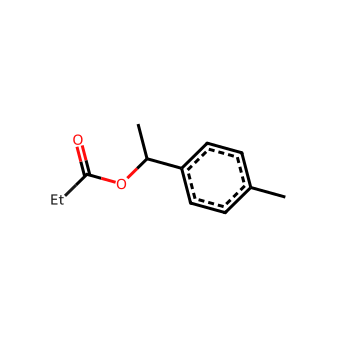 CCC(=O)OC(C)c1ccc(C)cc1